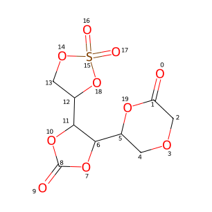 O=C1COCC(C2OC(=O)OC2C2COS(=O)(=O)O2)O1